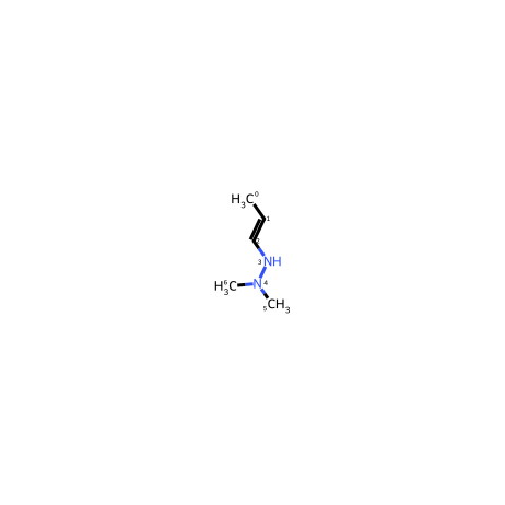 C/C=C/NN(C)C